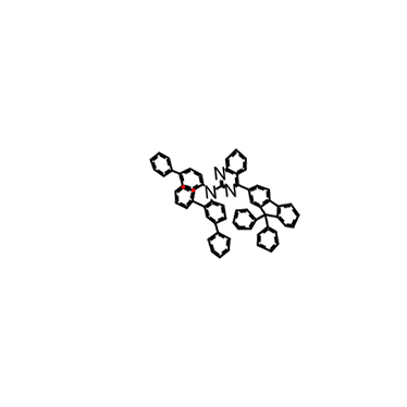 c1ccc(-c2ccc(N(c3nc(-c4ccc5c(c4)C(c4ccccc4)(c4ccccc4)c4ccccc4-5)c4ccccc4n3)c3ccc(-c4ccccc4)cc3-c3ccccc3)cc2)cc1